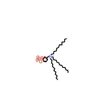 CCCCCCCCCCCC[N+](CCCCCCCCCCCC)(CCCCCCCCCCCC)Cc1ccccc1.O=S(=O)([O-])O